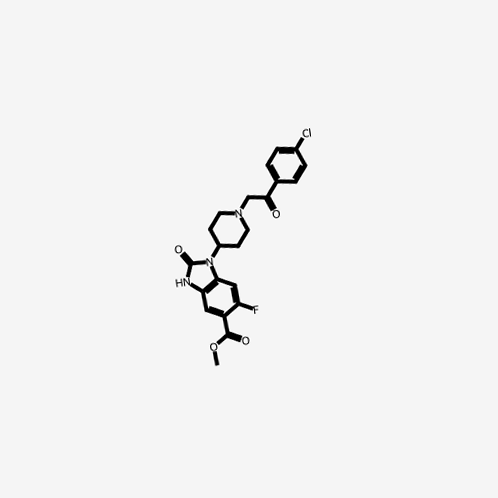 COC(=O)c1cc2[nH]c(=O)n(C3CCN(CC(=O)c4ccc(Cl)cc4)CC3)c2cc1F